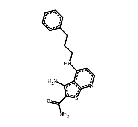 NC(=O)c1sc2nccc(NCCCc3ccccc3)c2c1N